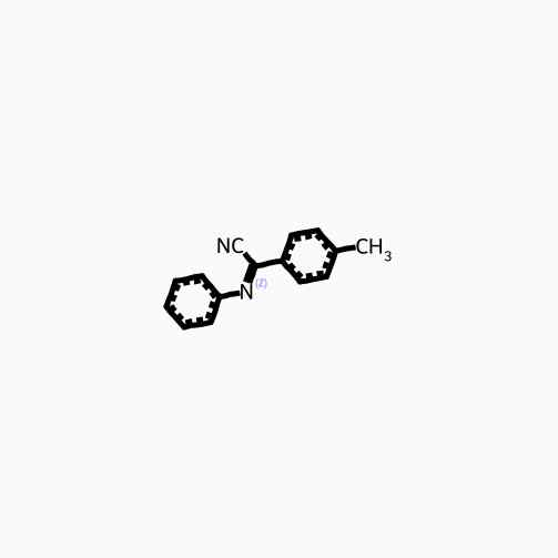 Cc1ccc(/C(C#N)=N/c2ccccc2)cc1